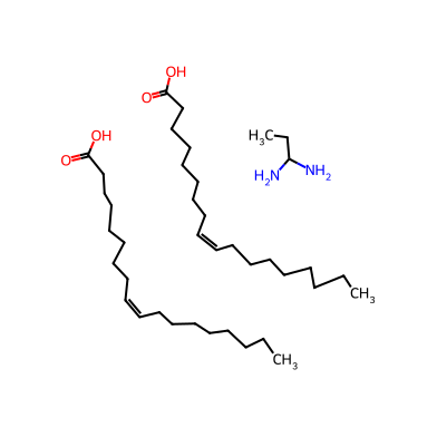 CCC(N)N.CCCCCCCC/C=C\CCCCCCCC(=O)O.CCCCCCCC/C=C\CCCCCCCC(=O)O